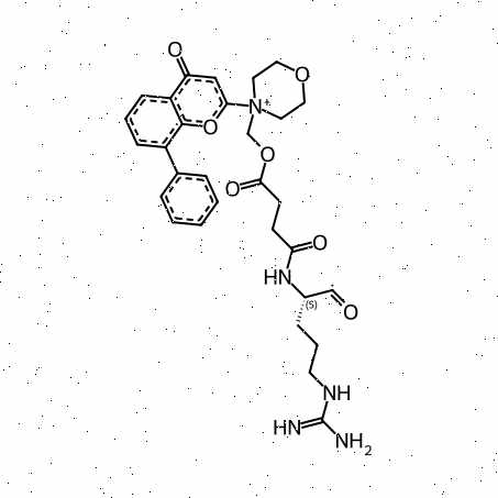 N=C(N)NCCC[C@@H]([C]=O)NC(=O)CCC(=O)OC[N+]1(c2cc(=O)c3cccc(-c4ccccc4)c3o2)CCOCC1